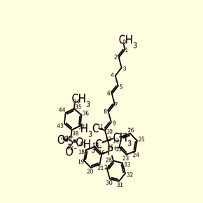 CC=CCCC=CC=CC=C(C)C(C)(C)[P+](c1ccccc1)(c1ccccc1)c1ccccc1.Cc1ccc(S(=O)(=O)[O-])cc1